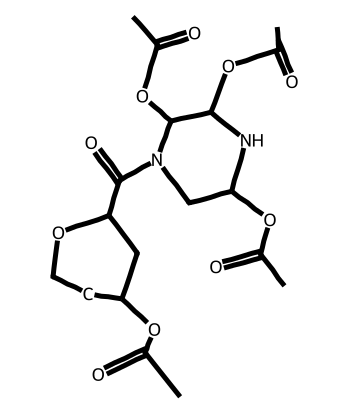 CC(=O)OC1CCOC(C(=O)N2CC(OC(C)=O)NC(OC(C)=O)C2OC(C)=O)C1